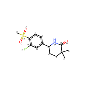 CC1(C)CCC(c2ccc(S(C)(=O)=O)c(F)c2)NC1=O